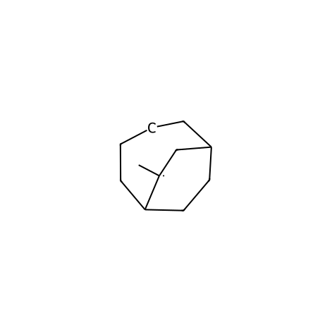 C[C]1CC2CCCCC1CC2